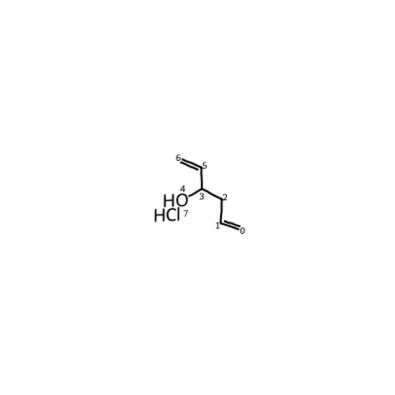 C=CCC(O)C=C.Cl